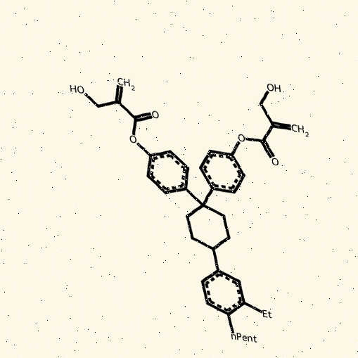 C=C(CO)C(=O)Oc1ccc(C2(c3ccc(OC(=O)C(=C)CO)cc3)CCC(c3ccc(CCCCC)c(CC)c3)CC2)cc1